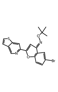 CC(C)(C)O/N=c1\cc(-c2cc3sccc3cn2)oc2ccc(Br)cc12